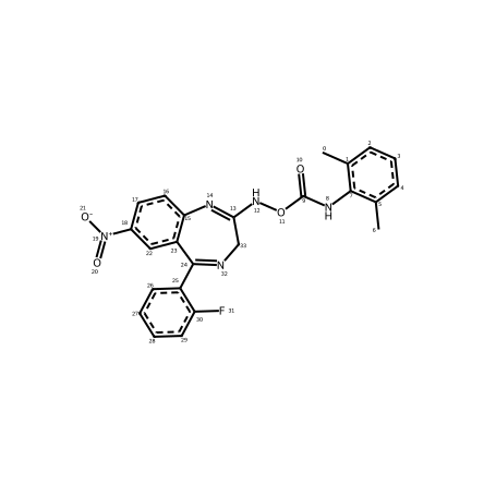 Cc1cccc(C)c1NC(=O)ONC1=Nc2ccc([N+](=O)[O-])cc2C(c2ccccc2F)=NC1